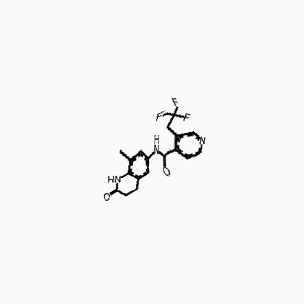 Cc1cc(NC(=O)c2ccncc2CC(F)(F)F)cc2c1NC(=O)CC2